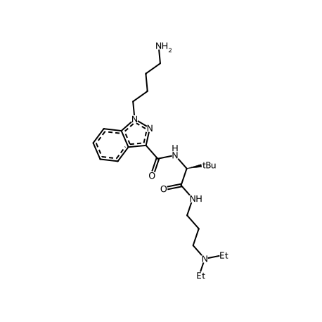 CCN(CC)CCCNC(=O)[C@@H](NC(=O)c1nn(CCCCN)c2ccccc12)C(C)(C)C